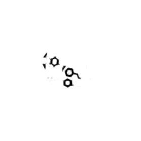 CCCCCCCCCCCCc1ccccc1S(=O)(=O)O.COc1ccc(S)cc1.O=C1C=C(N2CC2)C(=O)C(N2CC2)=C1N1CC1